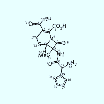 CCCCC(=O)C1=C(C(=O)O)N2C(=O)C(NC(=O)C(N)c3cccs3)(OC)[C@@H]2SC1